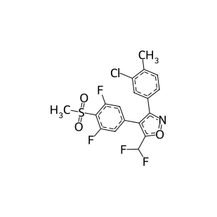 Cc1ccc(-c2noc(C(F)F)c2-c2cc(F)c(S(C)(=O)=O)c(F)c2)cc1Cl